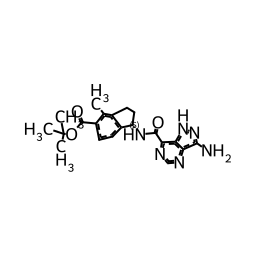 Cc1c(C(=O)OC(C)(C)C)ccc2c1CC[C@@H]2NC(=O)c1ncnc2c(N)n[nH]c12